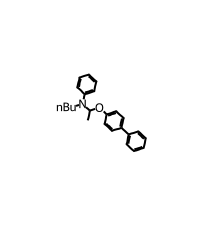 CCCCN(c1ccccc1)C(C)Oc1ccc(-c2ccccc2)cc1